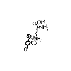 NC1CCCCC1.NCCCCC(N)C(=O)O.O=Cc1ccc(-c2ccccc2)cc1